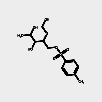 Cc1ccc(S(=O)(=O)OCC(OCO)C(O)C(C)O)cc1